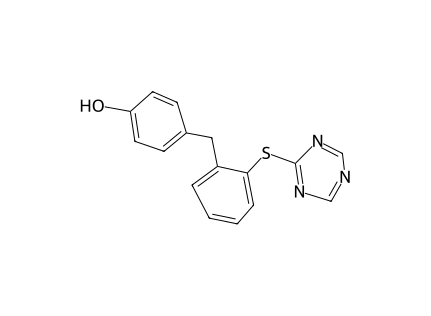 Oc1ccc(Cc2ccccc2Sc2ncncn2)cc1